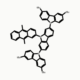 Cc1c2ccccc2c(C)c2cc(-n3c4cc(-n5c6ccc(C(C)(C)C)cc6c6cc(C(C)(C)C)ccc65)ccc4c4ccc(-n5c6ccc(C(C)(C)C)cc6c6cc(C(C)(C)C)ccc65)cc43)ccc12